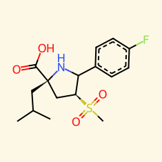 CC(C)C[C@]1(C(=O)O)C[C@H](S(C)(=O)=O)C(c2ccc(F)cc2)N1